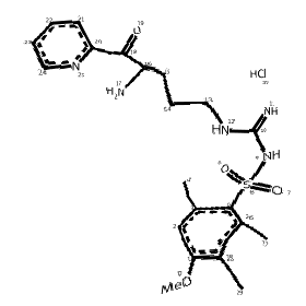 COc1cc(C)c(S(=O)(=O)NC(=N)NCCCC(N)C(=O)c2ccccn2)c(C)c1C.Cl